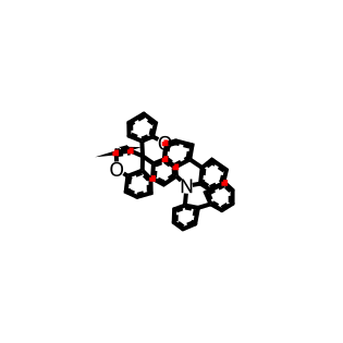 c1ccc(-c2ccccc2N(c2ccc3c(c2)Oc2ccccc2C32c3ccccc3Oc3ccccc32)c2ccccc2-c2ccccc2)cc1